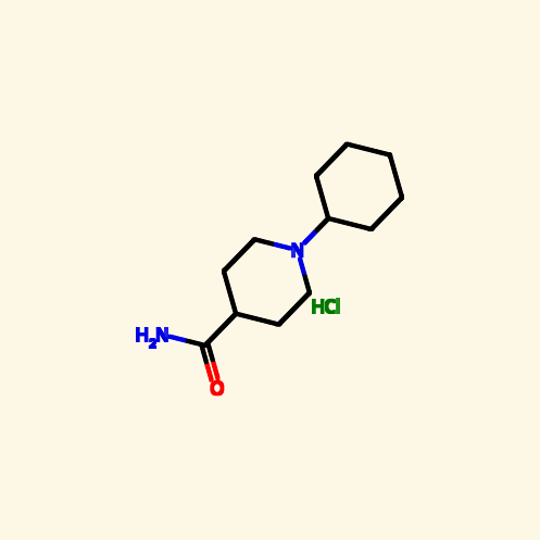 Cl.NC(=O)C1CCN(C2CCCCC2)CC1